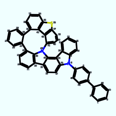 c1ccc(-c2ccc(-n3c4ccccc4c4c3ccc3c5cccc6c7ccccc7c7cccc8sc9cccc(c9c87)n(c65)c34)cc2)cc1